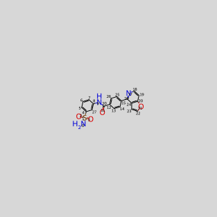 NS(=O)(=O)c1cccc(NC(=O)c2ccc(-c3nccc4occc34)cc2)c1